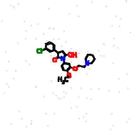 COc1ccc(N2C(=O)C(c3cccc(Cl)c3)CC2O)cc1OCCN1CCCCC1